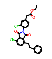 CCOC(=O)Cc1ccc(N2C(=O)c3c(Cl)ccc(CCc4ccccc4)c3C2=O)c(Cl)c1